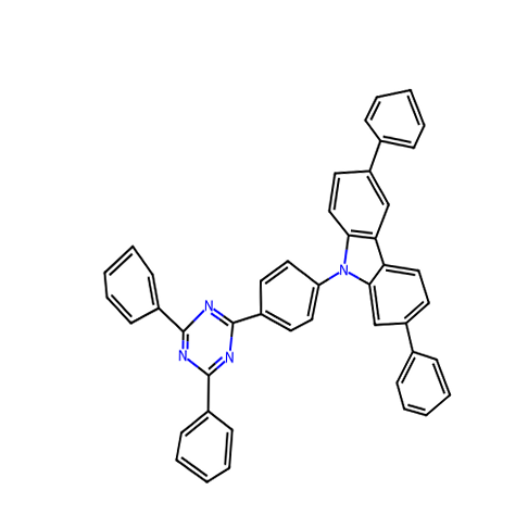 c1ccc(-c2ccc3c(c2)c2ccc(-c4ccccc4)cc2n3-c2ccc(-c3nc(-c4ccccc4)nc(-c4ccccc4)n3)cc2)cc1